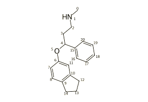 CNCCC(Oc1ccc2c(c1)CCC2)c1ccccc1